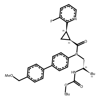 CC[C@H](C)[C@@H](CN(C(=O)[C@H]1C[C@H]1c1ncccc1F)c1ccc(-c2ccc(COC)cc2)cc1)NC(=O)OC(C)(C)C